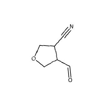 N#CC1COCC1C=O